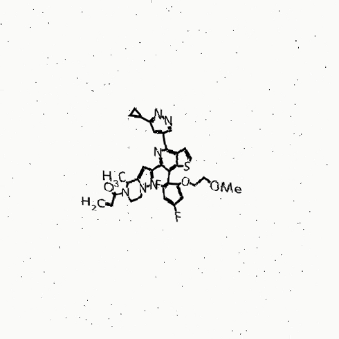 C=CC(=O)N1CCn2nc(-c3nc(-c4cnnc(C5CC5)c4)c4ccsc4c3-c3c(F)cc(F)cc3OCCOC)cc2C1C